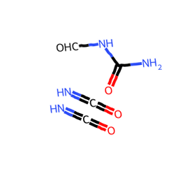 N=C=O.N=C=O.NC(=O)NC=O